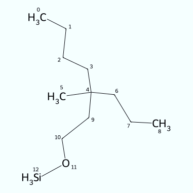 CCCCC(C)(CCC)CCO[SiH3]